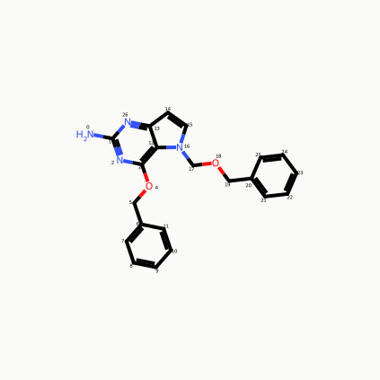 Nc1nc(OCc2ccccc2)c2c(ccn2COCc2ccccc2)n1